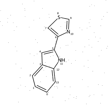 [c]1ccc2cc(-c3cscn3)[nH]c2c1